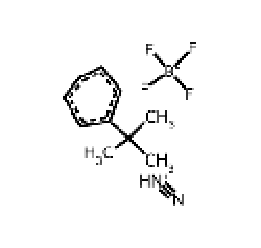 CC(C)(C)c1ccccc1.F[B-](F)(F)F.N#[NH+]